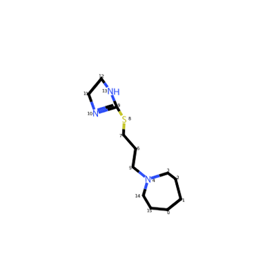 C1CCCN(CCCSC2=NCCN2)CC1